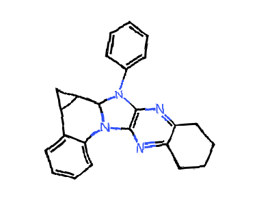 c1ccc(N2c3nc4c(nc3N3c5ccccc5C5CC5C23)CCCC4)cc1